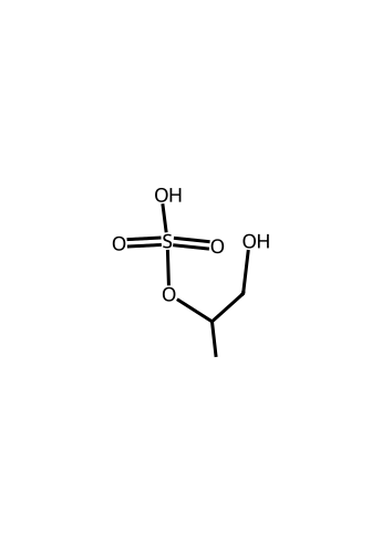 CC(CO)OS(=O)(=O)O